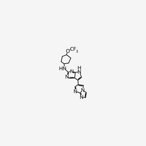 FC(F)(F)OC1CCC(Nc2ncc3c(-c4cnc5nccn5c4)c[nH]c3n2)CC1